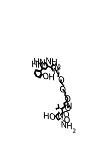 CC(C)[C@H](C(=O)N1C[C@H](O)C[C@H]1C(N)=O)c1cc(OCCOCCOCCn2cc(C3=C(N)NNC(c4ccccc4O)=C3)cn2)no1